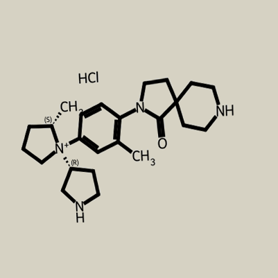 Cc1cc([N+]2([C@@H]3CCNC3)CCC[C@@H]2C)ccc1N1CCC2(CCNCC2)C1=O.Cl